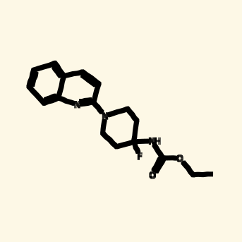 CCOC(=O)NC1(F)CCN(c2ccc3ccccc3n2)CC1